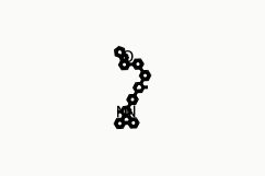 CC1C=C(c2ccc(C3=Nc4c(c5ccccc5c5ccccc45)N(C)C3)cc2)C=CC1c1cccc(-c2cccc(-c3cccc4c3oc3ccccc34)c2)c1